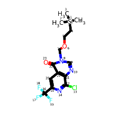 C[Si](C)(C)CCOCn1cnc2c(Cl)nc(C(F)(F)F)cc2c1=O